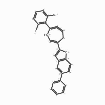 Fc1cccc(Cl)c1C1=C=CCC(c2cc3cc(-c4ccccc4)ccc3o2)=CN1